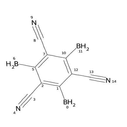 Bc1c(C#N)c(B)c(C#N)c(B)c1C#N